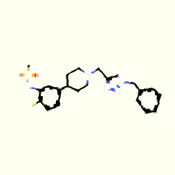 CS(=O)(=O)Nc1cc(C2CCN(Cc3cn(Cc4ccccc4)nn3)CC2)ccc1F